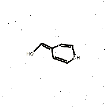 O/C=C1/C=[C]NC=C1